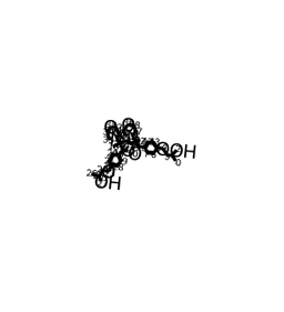 CC(O)COc1ccc(C(=O)C(C)(CCC(C)(C(=O)c2ccc(OCC(C)O)cc2)N2CCOCC2)N2CCOCC2)cc1